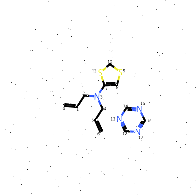 C=CCN(CC=C)C1=CSCS1.c1ncncn1